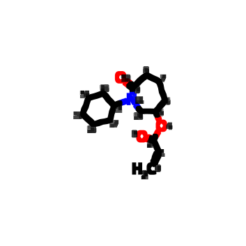 C=CC(=O)OC1CCCC(=O)N(C2CCCCC2)C1